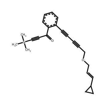 C[Si](C)(C)C#CC(=O)c1ccccc1C#CC#CCOC/C=C/C1CC1